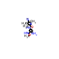 COC(=N)c1cc(NC(=O)c2nc(C)c(C#N)c(C)c2C)ccc1N